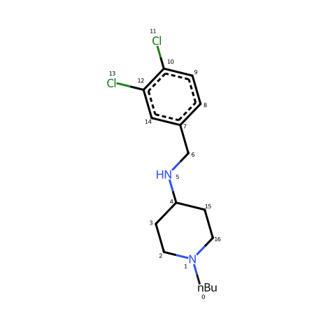 CCCCN1CCC(NCc2ccc(Cl)c(Cl)c2)CC1